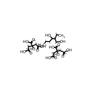 CCCC(O)C(CC)CO.O=C(O)CC(O)(CC(=O)O)C(=O)O.O=C(O)CC(O)(CC(=O)O)C(=O)O